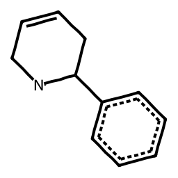 C1=CCC(c2ccccc2)[N]C1